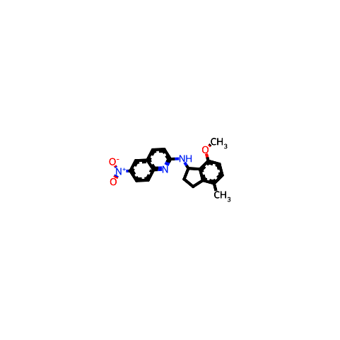 COc1ccc(C)c2c1C(Nc1ccc3cc([N+](=O)[O-])ccc3n1)CC2